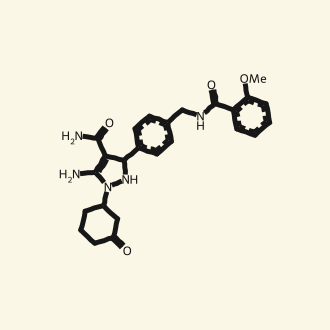 COc1ccccc1C(=O)NCc1ccc(C2NN(C3CCCC(=O)C3)C(N)=C2C(N)=O)cc1